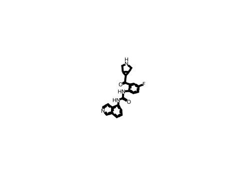 O=C(Nc1ccc(F)cc1C(=O)C1C2CNCC21)Nc1cccc2cnccc12